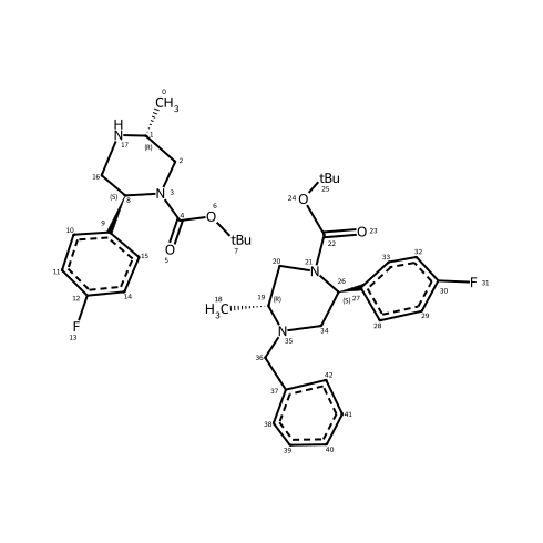 C[C@@H]1CN(C(=O)OC(C)(C)C)[C@@H](c2ccc(F)cc2)CN1.C[C@@H]1CN(C(=O)OC(C)(C)C)[C@@H](c2ccc(F)cc2)CN1Cc1ccccc1